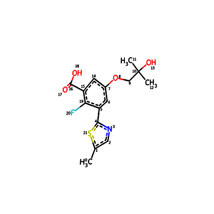 Cc1cnc(-c2cc(OCC(C)(C)O)cc(C(=O)O)c2F)s1